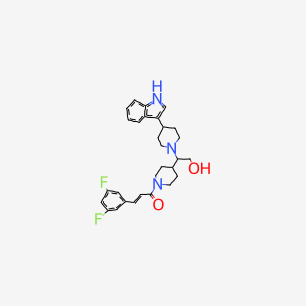 O=C(C=Cc1cc(F)cc(F)c1)N1CCC(C(CO)N2CCC(c3c[nH]c4ccccc34)CC2)CC1